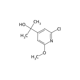 COc1cc(C(C)(C)O)cc(Cl)n1